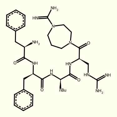 CCCC[C@@H](NC(=O)[C@@H](Cc1ccccc1)NC(=O)[C@H](N)Cc1ccccc1)C(=O)N[C@H](CNC(=N)N)C(=O)N1CCCN(C(=N)N)CC1